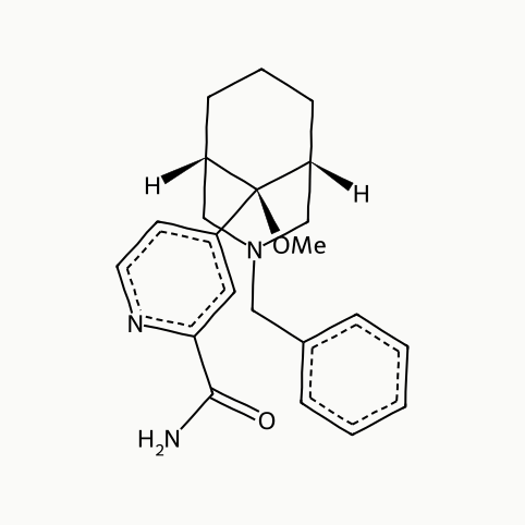 CO[C@]1(c2ccnc(C(N)=O)c2)[C@@H]2CCC[C@H]1CN(Cc1ccccc1)C2